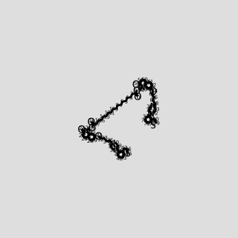 O=C(CCCCCCCCCCCCCCCCC(=O)OCn1c(=O)ccc2ccc(OCCCCN3CCN(c4cccc5sccc45)CC3)cc21)OCn1c(=O)ccc2ccc(OCCCCN3CCN(c4cccc5sccc45)CC3)cc21